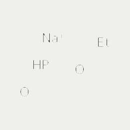 CCOP[O-].[Na+]